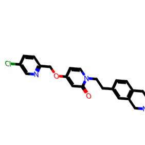 O=c1cc(OCc2ccc(Cl)cn2)ccn1CCc1ccc2c(c1)CNCC2